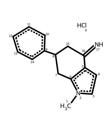 Cl.Cn1ccc2c1CC(c1ccccc1)CC2=N